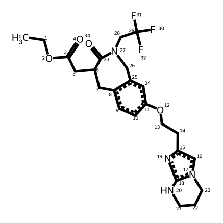 CCOC(=O)CC1Cc2ccc(OCCc3cn4c(n3)NCCC4)cc2CN(CC(F)(F)F)C1=O